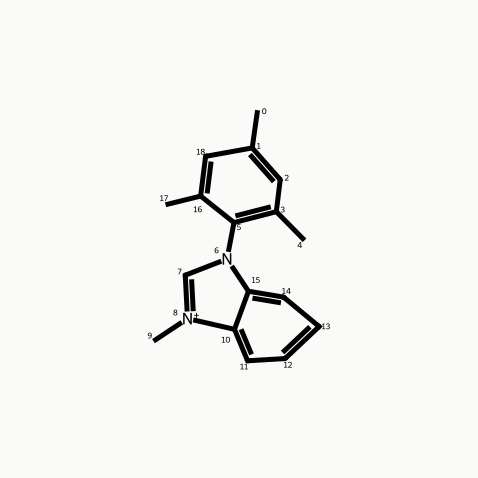 Cc1cc(C)c(-n2c[n+](C)c3ccccc32)c(C)c1